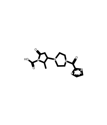 CC1C(N2CCN(C(=O)c3nccs3)CC2)CC(=O)N1C(=O)O